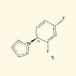 FC1=C=C(F)[C@@H](n2cccc2)C=C1.[Ti]